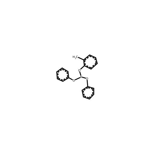 Cc1ccccc1ON(Oc1ccccc1)Oc1ccccc1